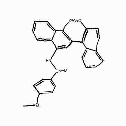 COc1ccc([S+]([O-])Nc2cc(-c3c(O)ccc4ccccc34)c(O)c3ccccc23)cc1